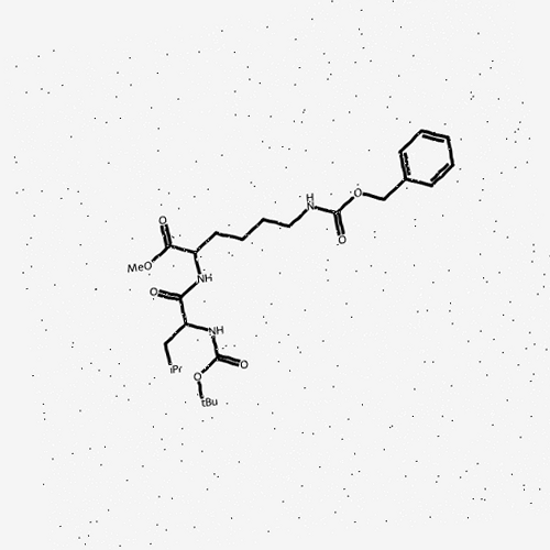 COC(=O)C(CCCCNC(=O)OCc1ccccc1)NC(=O)C(CC(C)C)NC(=O)OC(C)(C)C